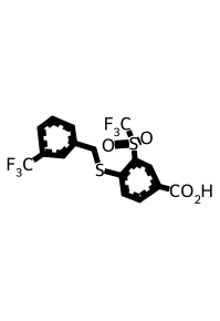 O=C(O)c1ccc(SCc2cccc(C(F)(F)F)c2)c(S(=O)(=O)C(F)(F)F)c1